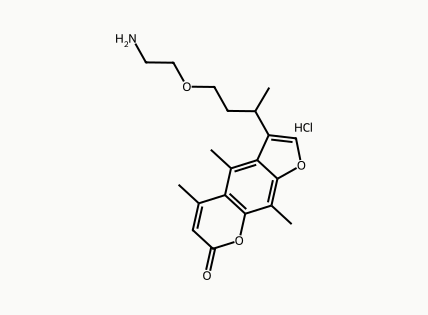 Cc1c2oc(=O)cc(C)c2c(C)c2c(C(C)CCOCCN)coc12.Cl